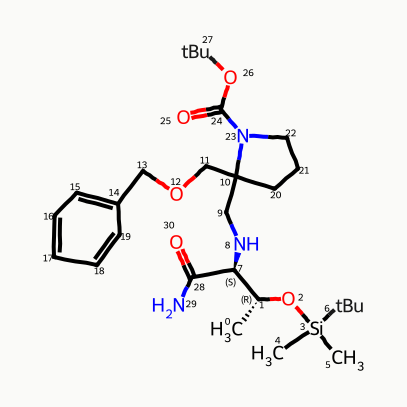 C[C@@H](O[Si](C)(C)C(C)(C)C)[C@H](NCC1(COCc2ccccc2)CCCN1C(=O)OC(C)(C)C)C(N)=O